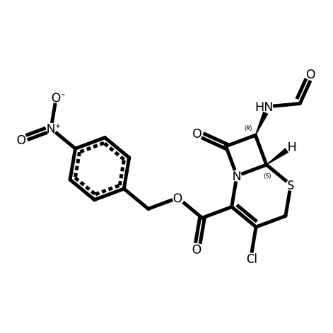 O=CN[C@@H]1C(=O)N2C(C(=O)OCc3ccc([N+](=O)[O-])cc3)=C(Cl)CS[C@@H]12